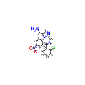 NCc1cnc2n1-c1ccc([N+](=O)[O-])cc1C(c1ccccc1Cl)=NC2